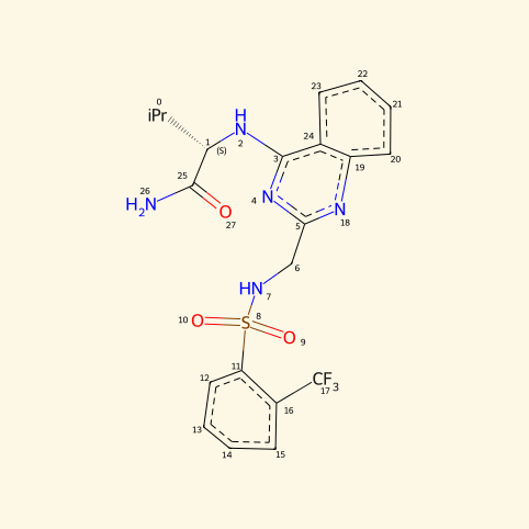 CC(C)[C@H](Nc1nc(CNS(=O)(=O)c2ccccc2C(F)(F)F)nc2ccccc12)C(N)=O